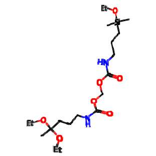 CCOC(C)(CCCNC(=O)OCOC(=O)NCCC[Si](C)(C)OCC)OCC